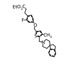 CCOC(=O)CCc1ccc(OCc2cc(C)c(CN3CCC4(CCc5ccccc54)CC3)s2)cc1F